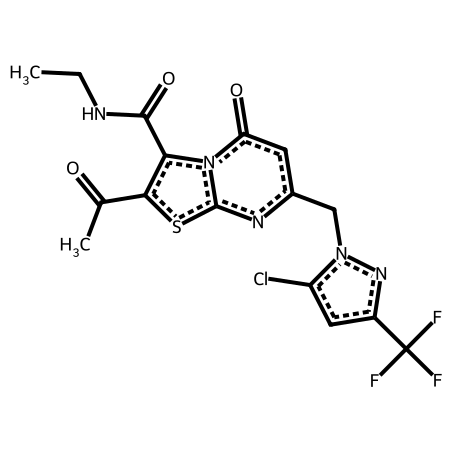 CCNC(=O)c1c(C(C)=O)sc2nc(Cn3nc(C(F)(F)F)cc3Cl)cc(=O)n12